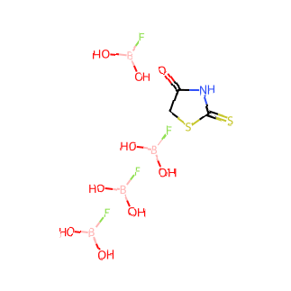 O=C1CSC(=S)N1.OB(O)F.OB(O)F.OB(O)F.OB(O)F